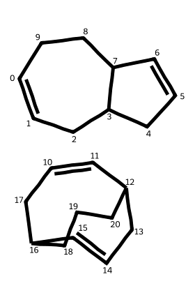 C1=CCC2CC=CC2CC1.C1=C\C2C/C=C/C(C/1)CCC2